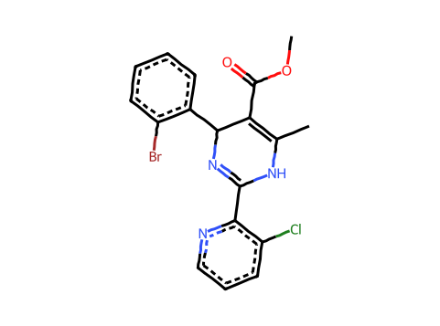 COC(=O)C1=C(C)NC(c2ncccc2Cl)=NC1c1ccccc1Br